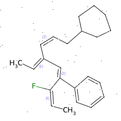 C/C=C(\C=C/CC1CCCCC1)/C=C(\C(F)=C/C)c1ccccc1